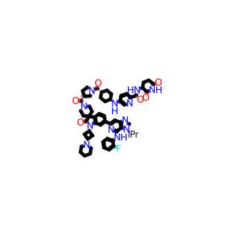 CC(C)n1cnc2cc(-c3ccc4c(c3)N([C@H]3C[C@@H](N5CCCCC5)C3)C(=O)C43CCN(C(=O)[C@@H]4CCN(C(=O)[C@H]5CC[C@H](Nc6ccc(C(=O)NC7CCC(=O)NC7=O)nc6)CC5)C4)CC3)nc(Nc3ccccc3F)c21